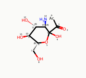 CC(=O)C(=O)C1(O)O[C@H](CO)[C@@H](O)[C@H](O)[C@H]1N